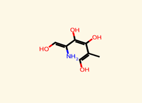 CC(=C\O)/C(O)=C(O)\C(N)=C\O